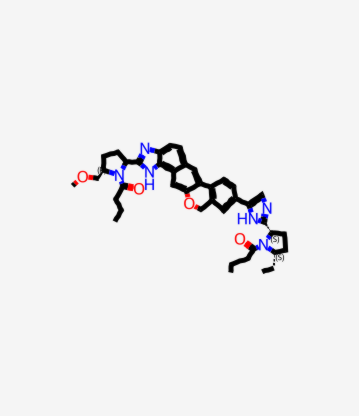 CCCC(=O)N1C(c2nc3ccc4cc5c(cc4c3[nH]2)OCc2cc(-c3cnc([C@@H]4CC[C@H](CC)N4C(=O)CCC)[nH]3)ccc2-5)CC[C@@H]1COC